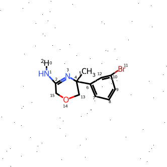 [2H]NC1=NC(C)(c2cccc(Br)c2)COC1